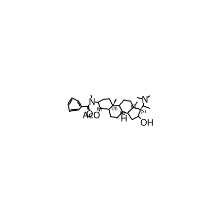 CC(=O)O[C@H]1C(N(C)C(=O)c2ccccc2)CC[C@]2(C)C3CC[C@@]4(C)C(CC(O)[C@@H]4C(C)N(C)C)[C@@H]3CCC12